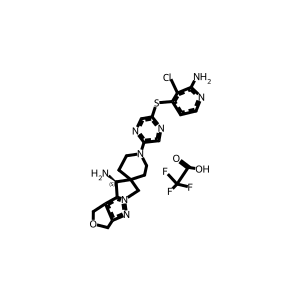 Nc1nccc(Sc2cnc(N3CCC4(CC3)Cn3nc5c(c3[C@H]4N)COC5)cn2)c1Cl.O=C(O)C(F)(F)F